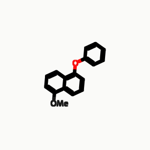 COc1cccc2c(Oc3ccccc3)cccc12